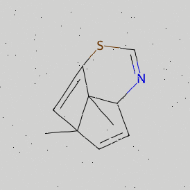 CC12C=CC3N=CSC(=C1)C32C